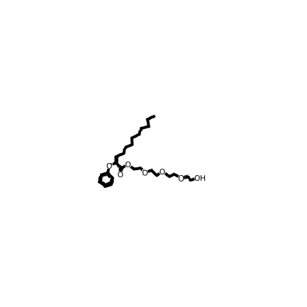 CCCCCCCCCC=C(Oc1ccccc1)C(=O)OCCOCCOCCOCCO